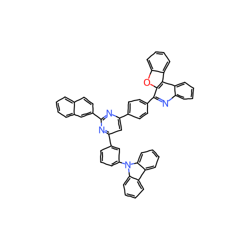 c1cc(-c2cc(-c3ccc(-c4nc5ccccc5c5c4oc4ccccc45)cc3)nc(-c3ccc4ccccc4c3)n2)cc(-n2c3ccccc3c3ccccc32)c1